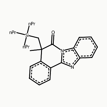 CCC[Si](CCC)(CCC)CC1(C)C(=O)n2c(nc3ccccc32)-c2ccccc21